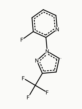 Fc1cccnc1-n1[c]cc(C(F)(F)F)n1